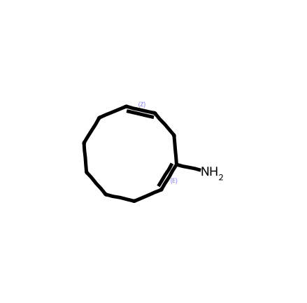 N/C1=C/CCCCC/C=C\C1